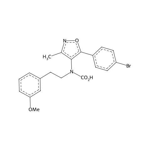 COc1cccc(CCN(C(=O)O)c2c(C)noc2-c2ccc(Br)cc2)c1